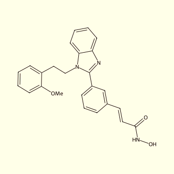 COc1ccccc1CCn1c(-c2cccc(C=CC(=O)NO)c2)nc2ccccc21